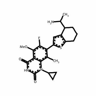 COc1c(F)c(-c2cc3c(s2)CCCC3C(C)N)c(C)c2c1c(=O)[nH]c(=O)n2C1CC1